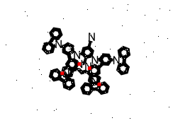 N#Cc1cc(-n2c3ccc(-n4c5ccccc5c5ccccc54)cc3c3cc(-n4c5ccccc5c5ccccc54)ccc32)c(-c2nc(-c3ccccc3)cc(-c3ccccc3)n2)c(-n2c3ccc(-n4c5ccccc5c5ccccc54)cc3c3cc(-n4c5ccccc5c5ccccc54)ccc32)c1